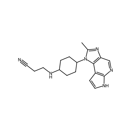 Cc1nc2cnc3[nH]ccc3c2n1C1CCC(NCCC#N)CC1